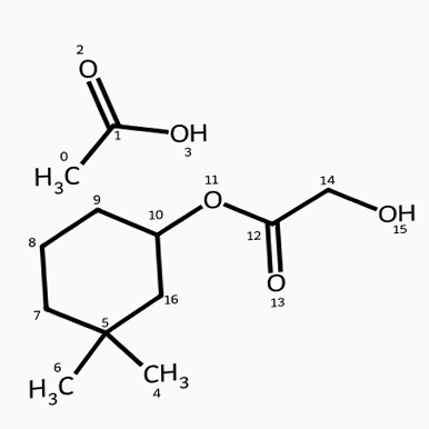 CC(=O)O.CC1(C)CCCC(OC(=O)CO)C1